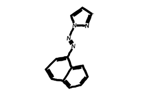 [c]1ccn(/N=N/c2cccc3ccccc23)n1